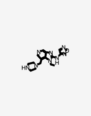 CCn1c(Nc2cnon2)nc2cncc(CN3CCNCC3)c21